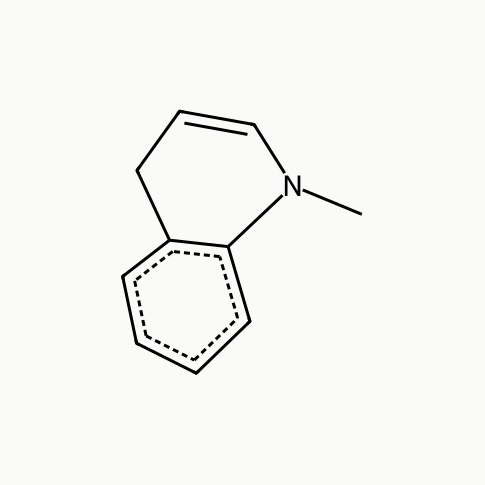 CN1C=CCc2ccccc21